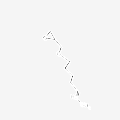 [SiH3][SH]=CCCCCOCC1CO1